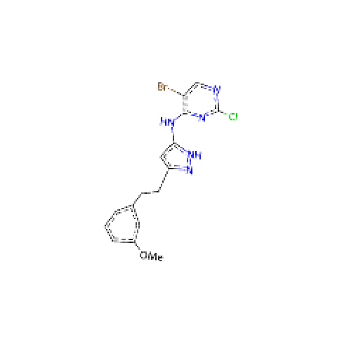 COc1cccc(CCc2cc(Nc3nc(Cl)ncc3Br)[nH]n2)c1